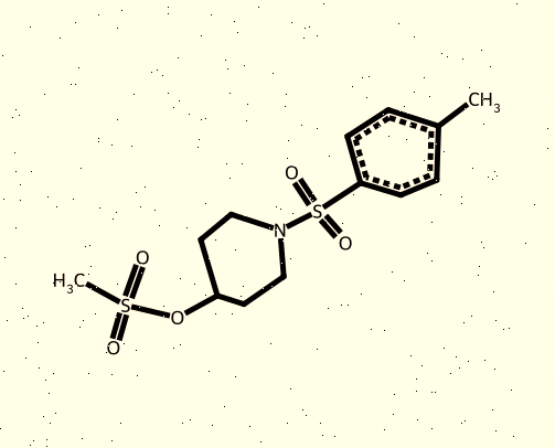 Cc1ccc(S(=O)(=O)N2CCC(OS(C)(=O)=O)CC2)cc1